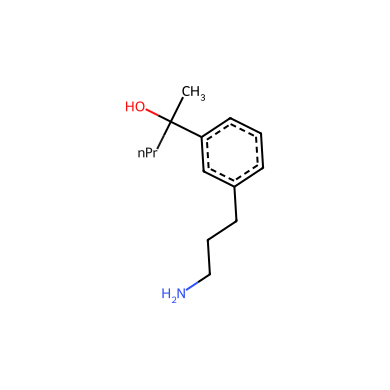 CCCC(C)(O)c1cccc(CCCN)c1